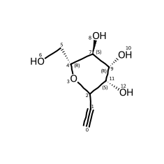 C#CC1O[C@H](CO)[C@@H](O)[C@H](O)[C@@H]1O